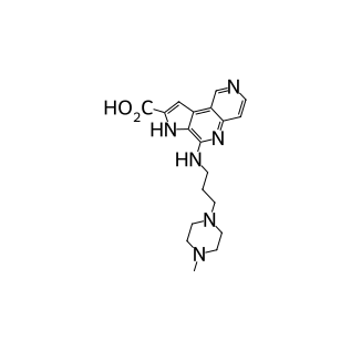 CN1CCN(CCCNc2nc3ccncc3c3cc(C(=O)O)[nH]c23)CC1